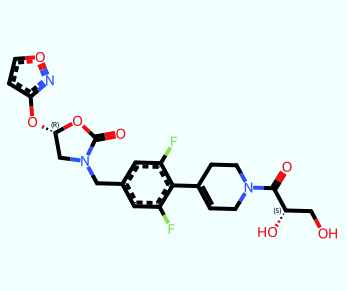 O=C1O[C@@H](Oc2ccon2)CN1Cc1cc(F)c(C2=CCN(C(=O)[C@@H](O)CO)CC2)c(F)c1